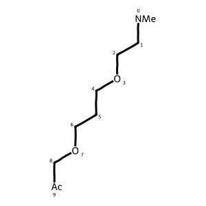 CNCCOCCCOCC(C)=O